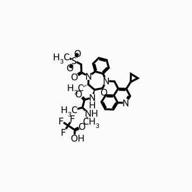 CNC(C)C(=O)N[C@@H]1C(=O)N(Cc2c(C3CC3)cnc3ccccc23)c2ccccc2N(C(=O)CS(C)(=O)=O)[C@H]1C.O=C(O)C(F)(F)F